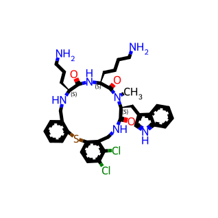 CN1C(=O)[C@H](CCCCN)NC(=O)[C@H](CCCN)NCc2ccccc2Sc2ccc(Cl)c(Cl)c2CNC(=O)[C@@H]1Cc1c[nH]c2ccccc12